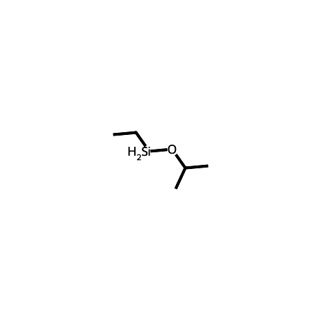 CC[SiH2]OC(C)C